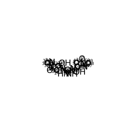 O=c1c2cccc3c(N=NC4NNC(N=Nc5c(O)cc6c7c5cccc7c(=O)n5c7ccccc7nc65)O4)c(O)cc(c32)c2nc3ccccc3n12